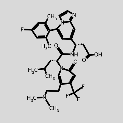 Cc1cc(F)cc(C)c1-c1cc([C@H](CC(=O)O)NC(=O)[C@@H](CC(C)C)n2cc(CCN(C)C)c(C(F)(F)F)cc2=O)cc2nccn12